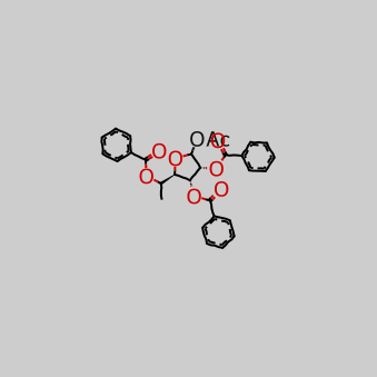 CC(=O)OC1O[C@H](C(C)OC(=O)c2ccccc2)[C@@H](OC(=O)c2ccccc2)[C@H]1OC(=O)c1ccccc1